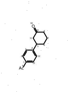 CC(=O)c1ccc(C2CCCC(=O)C2)cc1